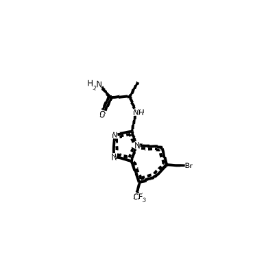 CC(Nc1nnc2c(C(F)(F)F)cc(Br)cn12)C(N)=O